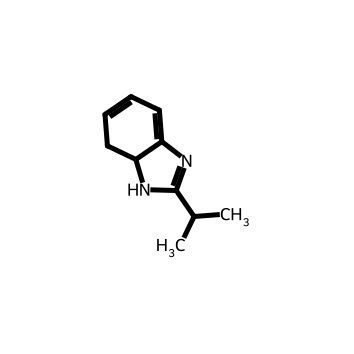 CC(C)C1=NC2=CC=CCC2N1